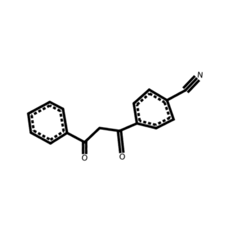 N#Cc1ccc(C(=O)CC(=O)c2ccccc2)cc1